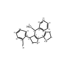 OC(C1=C(C2=CCCS2)SCC1c1ccccc1F)c1cccnc1